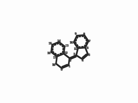 C1=C/C(=C2\C=Cc3ccccc32)c2ccccc2C1